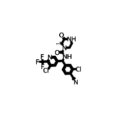 C[C@@H]1C(=O)NCCN1C(=O)NC(c1ccc(C#N)c(Cl)c1)c1cnc(C(F)(F)F)c(Cl)c1